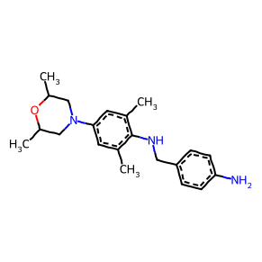 Cc1cc(N2CC(C)OC(C)C2)cc(C)c1NCc1ccc(N)cc1